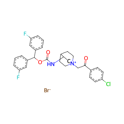 O=C(NC1C[N+]2(CC(=O)c3ccc(Cl)cc3)CCC1CC2)OC(c1cccc(F)c1)c1cccc(F)c1.[Br-]